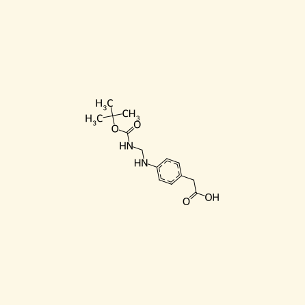 CC(C)(C)OC(=O)NCNc1ccc(CC(=O)O)cc1